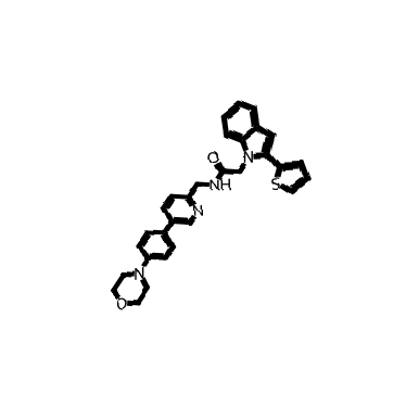 O=C(Cn1c(-c2cccs2)cc2ccccc21)NCc1ccc(-c2ccc(N3CCOCC3)cc2)cn1